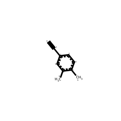 [C]#Cc1ccc(C)c(C)c1